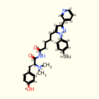 CN(C)[C@@H](Cc1ccc(O)cc1)C(=O)NC(=O)CCCCc1cc(-c2cccnc2)nn1-c1ccc(C(C)(C)C)cc1